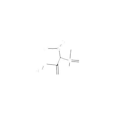 CCN(CC)C(C(=O)OC(C)(C)C)P(=O)(O)O